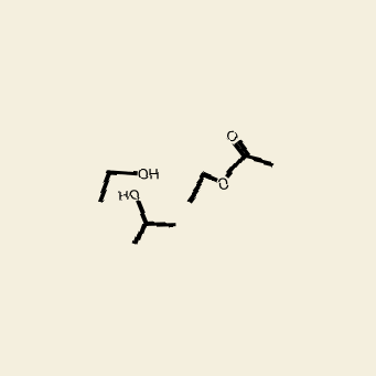 CC(C)O.CCO.CCOC(C)=O